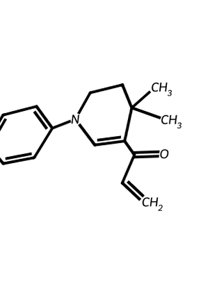 C=CC(=O)C1=CN(c2ccccc2)CCC1(C)C